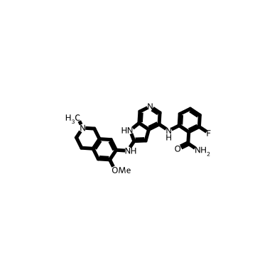 COc1cc2c(cc1Nc1cc3c(Nc4cccc(F)c4C(N)=O)cncc3[nH]1)CN(C)CC2